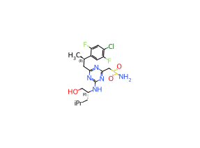 CC(C)C[C@H](CO)Nc1nc(C[C@@H](C)c2cc(F)c(Cl)cc2F)nc(CS(N)(=O)=O)n1